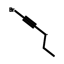 CC[CH]C#CBr